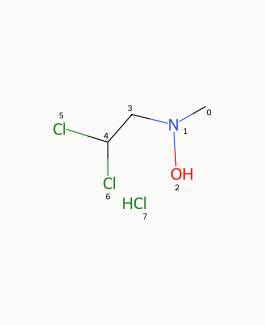 CN(O)CC(Cl)Cl.Cl